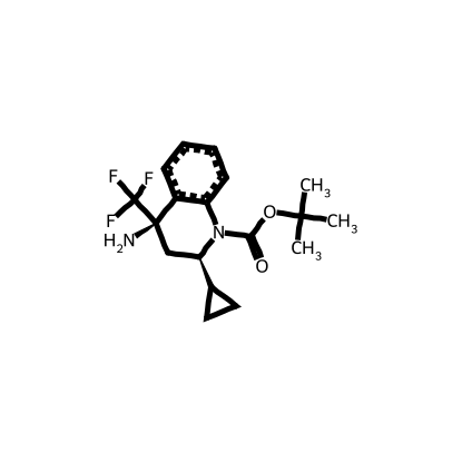 CC(C)(C)OC(=O)N1c2ccccc2[C@@](N)(C(F)(F)F)C[C@@H]1C1CC1